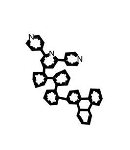 C1=CC2c3ccccc3-c3ccc(-c4ccccc4-c4ccccc4-c4ccccc4-c4cc(-c5ccncc5)nc(-c5ccncc5)c4)cc3C2C=C1